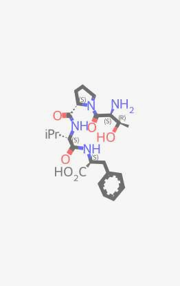 CC(C)[C@H](NC(=O)[C@@H]1CCCN1C(=O)[C@@H](N)[C@@H](C)O)C(=O)N[C@@H](Cc1ccccc1)C(=O)O